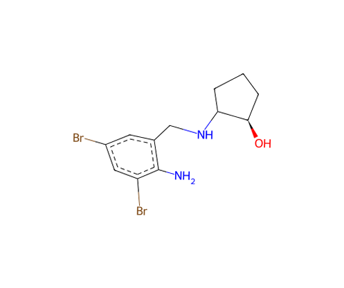 Nc1c(Br)cc(Br)cc1CNC1CCC[C@H]1O